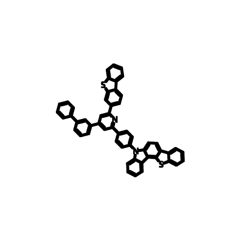 c1ccc(-c2cccc(-c3cc(-c4ccc(-n5c6ccccc6c6c7sc8ccccc8c7ccc65)cc4)nc(-c4ccc5c(c4)sc4ccccc45)c3)c2)cc1